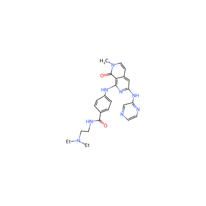 CCN(CC)CCNC(=O)c1ccc(Nc2nc(Nc3cnccn3)cc3ccn(C)c(=O)c23)cc1